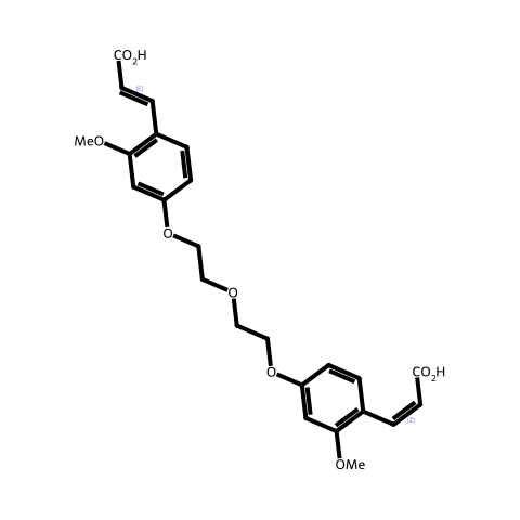 COc1cc(OCCOCCOc2ccc(/C=C/C(=O)O)c(OC)c2)ccc1/C=C\C(=O)O